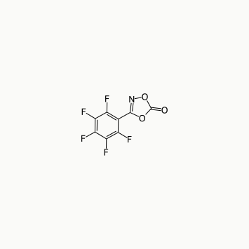 O=c1onc(-c2c(F)c(F)c(F)c(F)c2F)o1